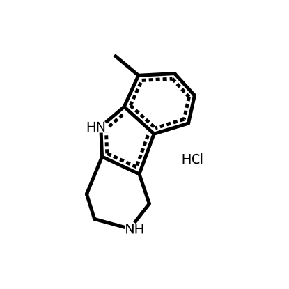 Cc1cccc2c3c([nH]c12)CCNC3.Cl